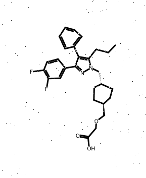 CCCc1c(-c2ccccc2)c(-c2ccc(F)c(F)c2)nn1C[C@H]1CC[C@H](COCC(=O)O)CC1